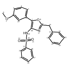 COc1cccc(-c2oc(Cc3ccccc3)nc2NS(=O)(=O)c2ccccc2)c1